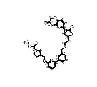 CC(C)(C)OC(=O)N1CCC(COc2cccc(-c3cccc(CNCCC4CN(c5ccc6c(n5)NC(=O)CO6)C(=O)O4)c3)n2)C1